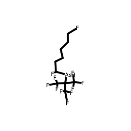 FCCCCCC(F)[AsH]C(C(F)(F)F)(C(F)(F)F)C(F)(F)F